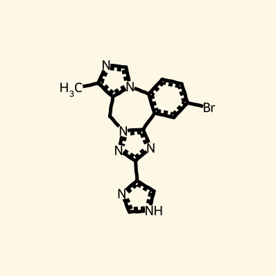 Cc1ncn2c1Cn1nc(-c3c[nH]cn3)nc1-c1cc(Br)ccc1-2